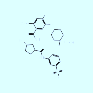 COc1cc(F)c(O[C@H]2CC[C@@](C)(C(=O)O)CC2)cc1C(=O)N[C@@H]1C(C(=O)Nc2cccc(S(=O)(=O)C(F)(F)F)c2)CC[C@H]1O